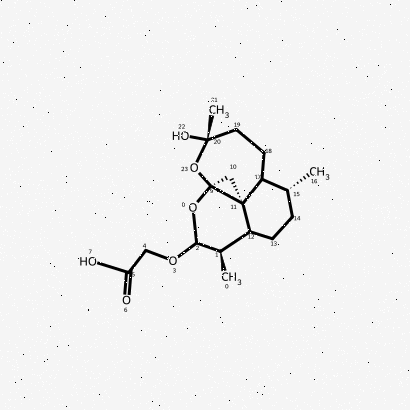 C[C@H]1C(OCC(=O)O)O[C@]23C[C@]24C1CC[C@@H](C)C4CC[C@@](C)(O)O3